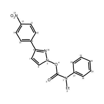 CCN(C(=O)On1ccc(-c2ccc([N+](=O)[O-])cc2)n1)c1ccccc1